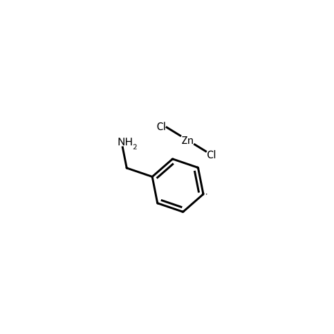 NCc1cc[c]cc1.[Cl][Zn][Cl]